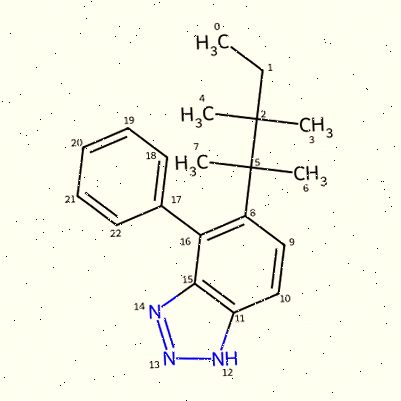 CCC(C)(C)C(C)(C)c1ccc2[nH]nnc2c1-c1ccccc1